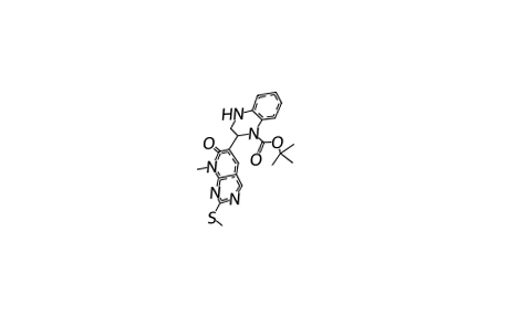 CSc1ncc2cc(C3CNc4ccccc4N3C(=O)OC(C)(C)C)c(=O)n(C)c2n1